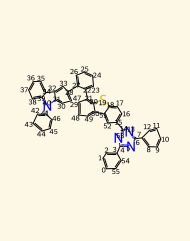 c1ccc(-c2nc(-c3ccccc3)nc(-c3ccc4sc5c(-c6ccccc6-c6ccc7c(c6)c6ccccc6n7-c6ccccc6)cccc5c4c3)n2)cc1